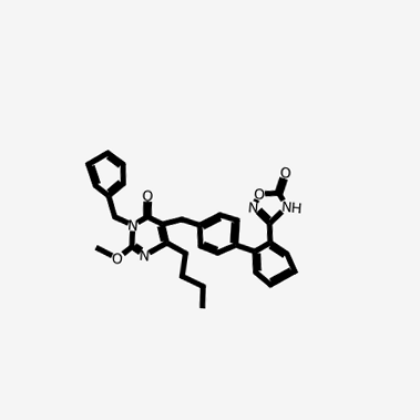 CCCCc1nc(OC)n(Cc2ccccc2)c(=O)c1Cc1ccc(-c2ccccc2-c2noc(=O)[nH]2)cc1